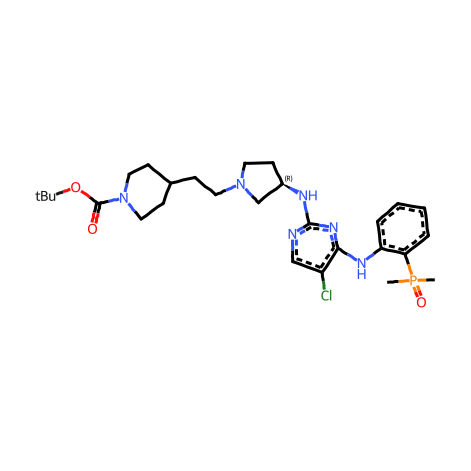 CC(C)(C)OC(=O)N1CCC(CCN2CC[C@@H](Nc3ncc(Cl)c(Nc4ccccc4P(C)(C)=O)n3)C2)CC1